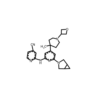 CC1(c2cc(Nc3cc(C#N)ccn3)nc(N3CC4CC4C3)c2)CCN(C2COC2)CC1